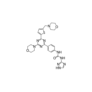 O=C(Nc1ccc(-c2nc(-c3ccc(CN4CCOCC4)s3)nc(N3CCOCC3)n2)cc1)Nc1nc[nH]n1